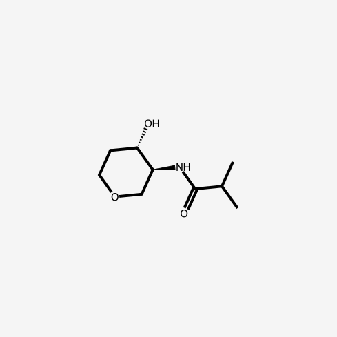 CC(C)C(=O)N[C@H]1COCC[C@@H]1O